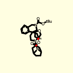 CC(C)(C)OC(=O)N1Cc2ccccc2C2(CCN(C3CC4CCC(C3)N4C(=O)O[C@@H]3CCOC3)CC2)C1